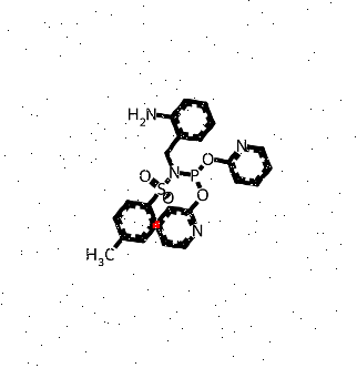 Cc1ccc(S(=O)(=O)N(Cc2ccccc2N)P(Oc2ccccn2)Oc2ccccn2)cc1